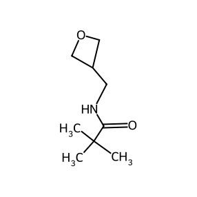 CC(C)(C)C(=O)NCC1COC1